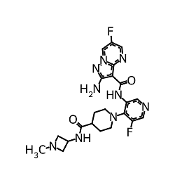 CN1CC(NC(=O)C2CCN(c3c(F)cncc3NC(=O)c3c(N)nn4cc(F)cnc34)CC2)C1